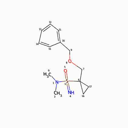 CN(C)S(=N)(=O)C1(COCc2ccccc2)CC1